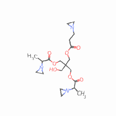 CC(C(=O)OCC(CO)(COC(=O)CCN1CC1)COC(=O)C(C)N1CC1)N1CC1